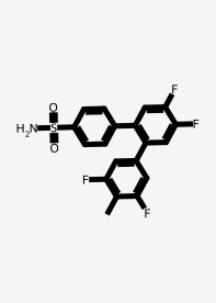 Cc1c(F)cc(-c2cc(F)c(F)cc2-c2ccc(S(N)(=O)=O)cc2)cc1F